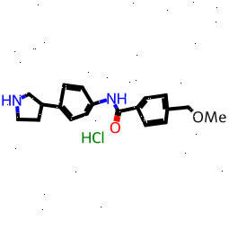 COCc1ccc(C(=O)Nc2ccc(C3CCNC3)cc2)cc1.Cl